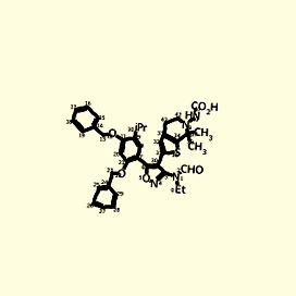 CCN(C=O)c1noc(-c2cc(C(C)C)c(OCc3ccccc3)cc2OCc2ccccc2)c1-c1cc2c(s1)C(C)(C)N(NC(=O)O)CC2